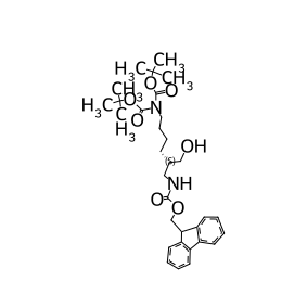 CC(C)(C)OC(=O)N(CCCC[C@H](CO)CNC(=O)OCC1c2ccccc2-c2ccccc21)C(=O)OC(C)(C)C